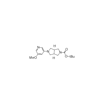 COc1cncc(N2C[C@H]3CN(C(=O)OC(C)(C)C)C[C@H]3C2)c1